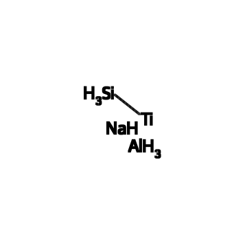 [AlH3].[NaH].[SiH3][Ti]